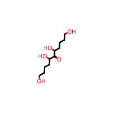 O=C(C(O)CCCCO)C(O)CCCCO